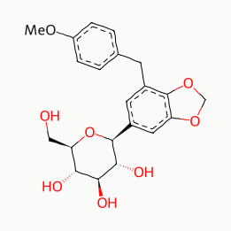 COc1ccc(Cc2cc([C@@H]3O[C@H](CO)[C@@H](O)[C@H](O)[C@H]3O)cc3c2OCO3)cc1